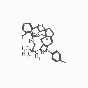 CC(C)(C)CNC(=O)c1c(F)cccc1CC[C@]1(O)CCC2=Cc3c(cnn3-c3ccc(F)cc3)C[C@@]21C